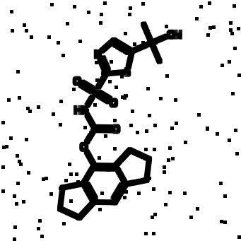 CC(C)(O)c1cnc(S(=O)(=O)NC(=O)Oc2c3c(cc4c2CCC4)CCC3)s1